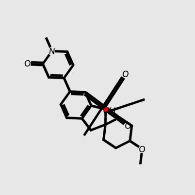 COC1CCC2(CC1)Cc1ccc(-c3ccn(C)c(=O)c3)cc1C21NC(=O)N(C)C1=O